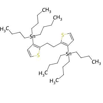 CCC[CH2][Sn]([CH2]CCC)([CH2]CCC)[c]1ccsc1CCc1scc[c]1[Sn]([CH2]CCC)([CH2]CCC)[CH2]CCC